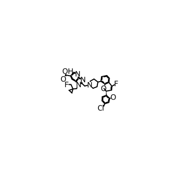 COc1cc(Cl)ccc1[C@@H]1C=C(F)c2cccc(C3CCN(Cc4nc5ncc(C(=O)O)cc5n4CC4(CF)CC4)CC3)c2O1